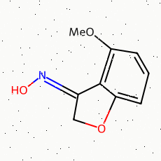 COc1cccc2c1C(=NO)CO2